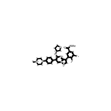 CNC(=O)c1cc(F)c(F)c(-c2cnn3cc(-c4ccc(N5CCN(C)CC5)cc4)c(O[C@H]4CCOC4)nc23)c1